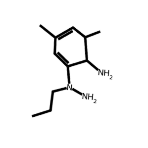 CCCN(N)C1=CC(C)=CC(C)C1N